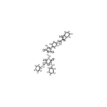 C[C@@H]1C(=O)N(CCC(NC(=O)OCc2ccccc2)C(=O)OCc2ccccc2)C(=O)N1c1ccc(CNc2nc3ccccc3[nH]2)cc1